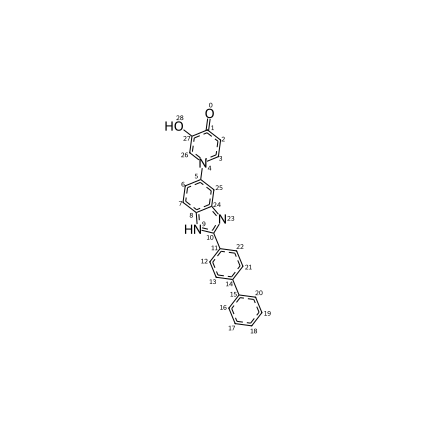 O=c1ccn(-c2ccc3[nH]c(-c4ccc(-c5ccccc5)cc4)nc3c2)cc1O